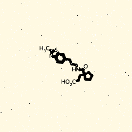 Cc1nc2ccc(CCCNC(=O)C3(CCC(=O)O)CCCC3)cc2s1